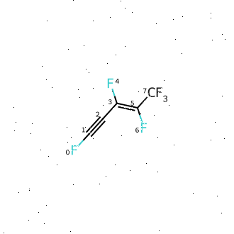 FC#CC(F)=C(F)C(F)(F)F